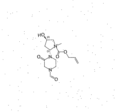 C=CCOC(=O)[N+]1(C)C[C@H](O)C[C@H]1N1CCN(C=O)CC1=O